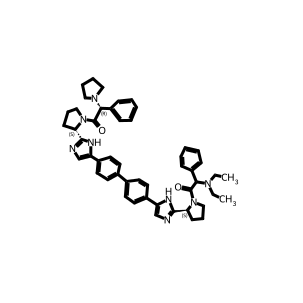 CCN(CC)C(C(=O)N1CCC[C@H]1c1ncc(-c2ccc(-c3ccc(-c4cnc([C@@H]5CCCN5C(=O)[C@@H](c5ccccc5)N5CCCC5)[nH]4)cc3)cc2)[nH]1)c1ccccc1